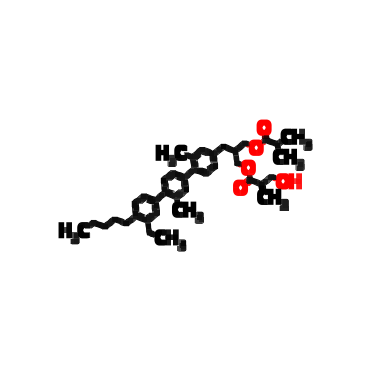 C=C(CO)C(=O)OCC(COC(=O)C(C)C)Cc1ccc(-c2ccc(-c3ccc(CCCCC)c(CC)c3)c(C)c2)c(C)c1